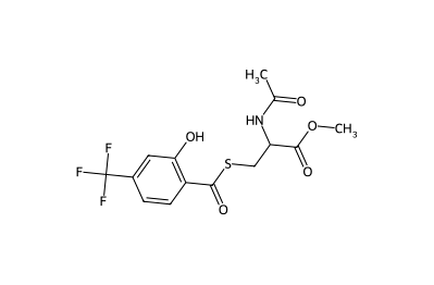 COC(=O)C(CSC(=O)c1ccc(C(F)(F)F)cc1O)NC(C)=O